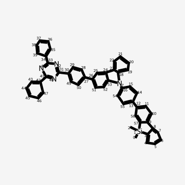 C[Si]1(C)c2ccccc2-c2ccc(-c3ccc(-n4c5ccccc5c5cc(-c6ccc(-c7nc(-c8ccccc8)nc(-c8ccccc8)n7)cc6)ccc54)cc3)cc21